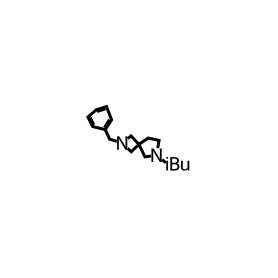 CCC(C)N1CCC2(CN(Cc3ccccc3)C2)C1